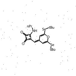 CCCNc1c(C=C2C=C([Se]C(C)(C)C)OC([Se]C(C)(C)C)=C2)c(=O)c1=O